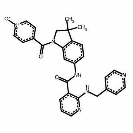 CC1(C)CN(C(=O)c2cc[n+]([O-])cc2)c2cc(NC(=O)c3cccnc3NCc3ccncc3)ccc21